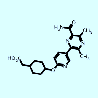 Cc1nc(C)c(-c2ccc(OC3CCC(CC(=O)O)CC3)nc2)nc1C(N)=O